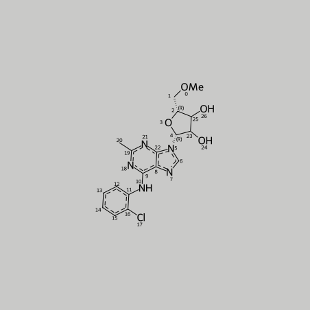 COC[C@H]1O[C@@H](n2cnc3c(Nc4ccccc4Cl)nc(C)nc32)C(O)C1O